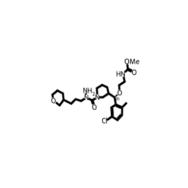 COC(=O)NCCO[C@@H](c1cc(Cl)ccc1C)C1CCCN(C(=O)N(N)CCCC2CCCOC2)C1